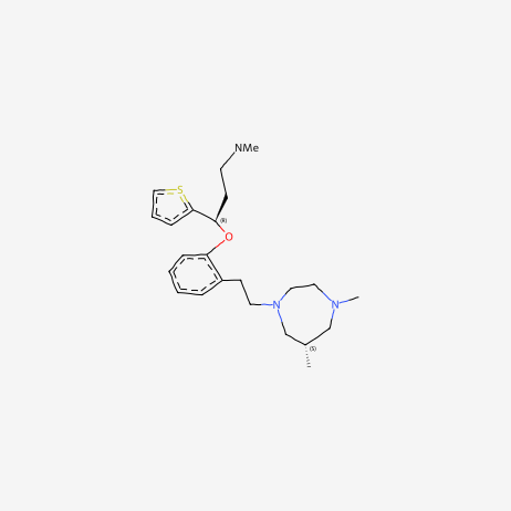 CNCC[C@@H](Oc1ccccc1CCN1CCN(C)C[C@H](C)C1)c1cccs1